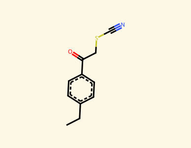 CCc1ccc(C(=O)CSC#N)cc1